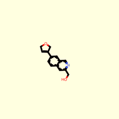 OCc1cc2ccc(C3=CCOC3)cc2cn1